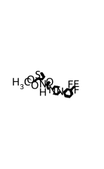 COC(=O)c1sccc1NC(=O)CN1CCN(c2cccc(C(F)(F)F)c2)CC1